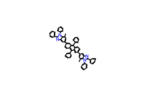 Cc1cc(-c2ccc3c(-c4ccccc4)c4cc(-c5cc(C)c6c(c5)nc(-c5ccccc5)n6-c5ccccc5)ccc4c(-c4ccccc4)c3c2)cc2nc(-c3ccccc3)n(-c3ccccc3)c12